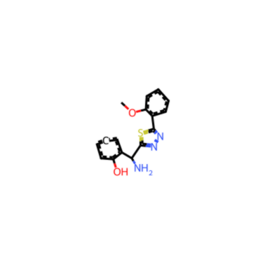 COc1ccccc1-c1nnc(C(N)c2ccccc2O)s1